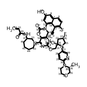 C#Cc1c(F)ccc2cc(O)cc(N3Cc4nc(OC[C@]5(C)C[C@@H](F)CN5c5ccc(N6CCOC[C@H]6C)nc5)nc(N5CCCCC(NC(=O)C=C)C5)c4OC3=O)c12